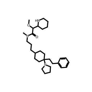 COC(C(=O)N(C)CCCC1CCC(CCc2ccccc2)(N2CCCC2)CC1)C1CCCCN1